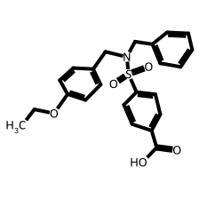 CCOc1ccc(CN(Cc2ccccc2)S(=O)(=O)c2ccc(C(=O)O)cc2)cc1